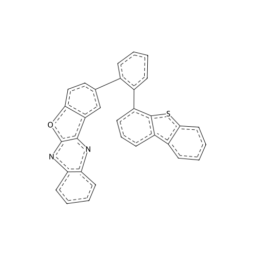 c1ccc(-c2cccc3c2sc2ccccc23)c(-c2ccc3oc4nc5ccccc5nc4c3c2)c1